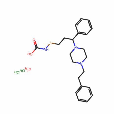 Cl.Cl.O.O=C(O)NSCCC(c1ccccc1)N1CCN(CCc2ccccc2)CC1